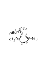 CCCCN(CCCC)c1cc(N)ccc1C